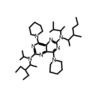 CCCC(C)C(C)N(c1nc(N2CCCCC2)c2nc(N(C(C)C)C(C)C(CC)CC)nc(N3CCCCC3)c2n1)C(C)C(C)C